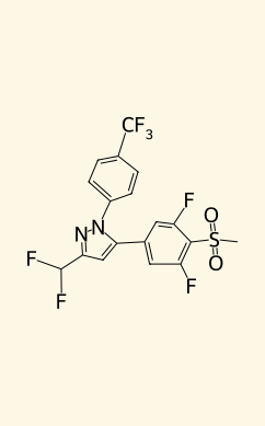 CS(=O)(=O)c1c(F)cc(-c2cc(C(F)F)nn2-c2ccc(C(F)(F)F)cc2)cc1F